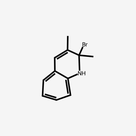 CC1=Cc2ccccc2NC1(C)Br